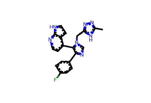 Cc1nnc(Cn2cnc(-c3ccc(F)cc3)c2-c2ccnc3[nH]ccc23)[nH]1